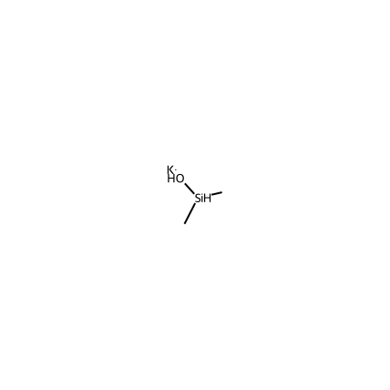 C[SiH](C)O.[K]